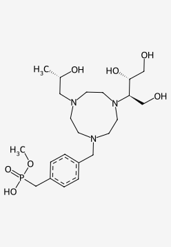 COP(=O)(O)Cc1ccc(CN2CCN(C[C@H](C)O)CCN([C@H](CO)[C@H](O)CO)CC2)cc1